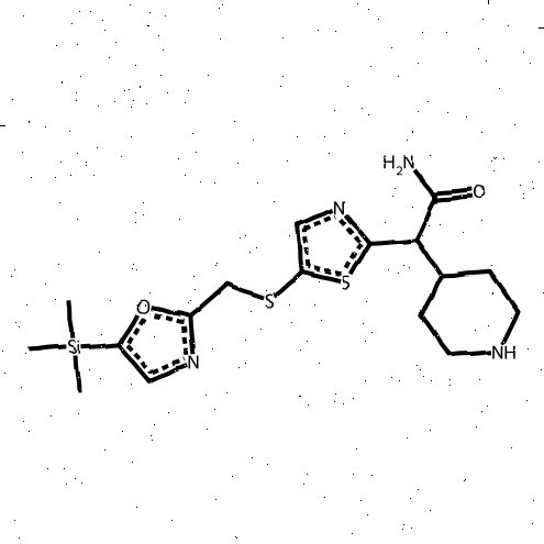 C[Si](C)(C)c1cnc(CSc2cnc(C(C(N)=O)C3CCNCC3)s2)o1